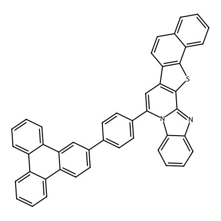 c1ccc2c(c1)ccc1c3cc(-c4ccc(-c5ccc6c7ccccc7c7ccccc7c6c5)cc4)n4c5ccccc5nc4c3sc21